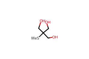 CSC(CO)(CO)CO